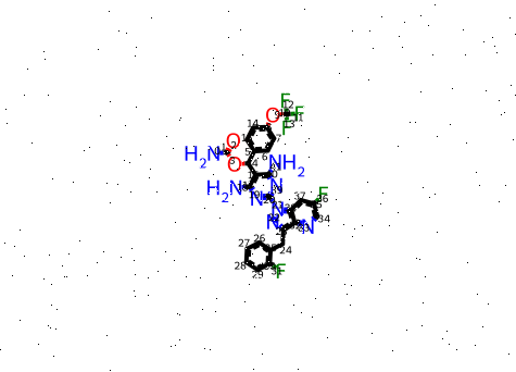 NC(=O)OC(c1ccc(OC(F)(F)F)cc1)c1c(N)nc(-n2nc(Cc3ccccc3F)c3ncc(F)cc32)nc1N